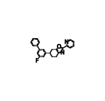 Fc1cc(-c2ccccc2)cc(C2CCc3nc(-c4ccccn4)oc3C2)c1